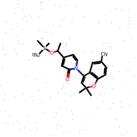 CC(O[Si](C)(C)C(C)(C)C)c1ccn(C2=CC(C)(C)Oc3ccc(C#N)cc32)c(=O)c1